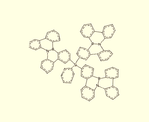 c1ccc([Si](c2ccc3c(c2)-c2ccccc2N2B3c3ccccc3-c3ccccc32)(c2ccc3c(c2)-c2ccccc2N2B3c3ccccc3-c3ccccc32)c2ccc3c(c2)-c2ccccc2N2B3c3ccccc3-c3ccccc32)cc1